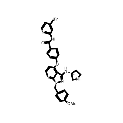 COc1ccc(Cn2nc(N[C@@H]3CCNC3)c3c(Oc4ccc(C(=O)Nc5cc(C(C)C)ccn5)cc4)ccnc32)cc1